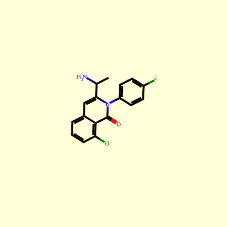 CC(N)c1cc2cccc(Cl)c2c(=O)n1-c1ccc(F)cc1